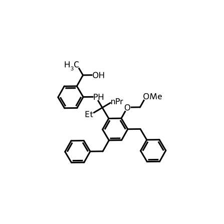 CCCC(CC)(Pc1ccccc1C(C)O)c1cc(Cc2ccccc2)cc(Cc2ccccc2)c1OCOC